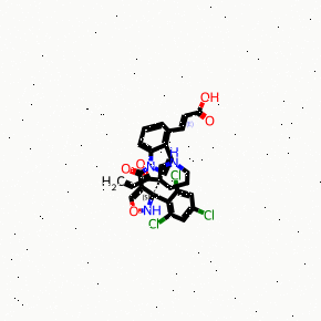 C=CC(=O)C1([C@]2(c3c(Cl)cc(Cl)cc3Cl)NOC=C2C(=O)n2ccc3c(/C=C/C(=O)O)cccc32)CCCNC1